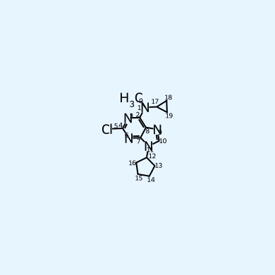 CN(c1nc(Cl)nc2c1ncn2C1CCCC1)C1CC1